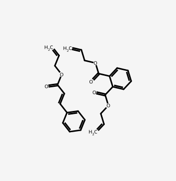 C=CCOC(=O)C=Cc1ccccc1.C=CCOC(=O)c1ccccc1C(=O)OCC=C